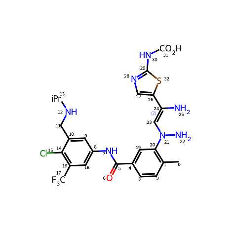 Cc1ccc(C(=O)Nc2cc(CNC(C)C)c(Cl)c(C(F)(F)F)c2)cc1N(N)/C=C(\N)c1cnc(NC(=O)O)s1